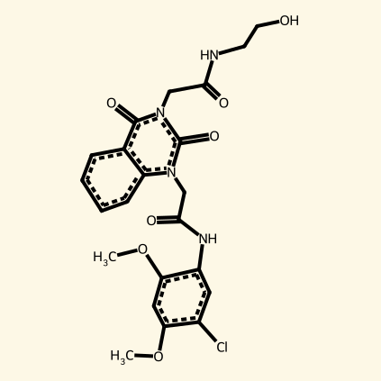 COc1cc(OC)c(NC(=O)Cn2c(=O)n(CC(=O)NCCO)c(=O)c3ccccc32)cc1Cl